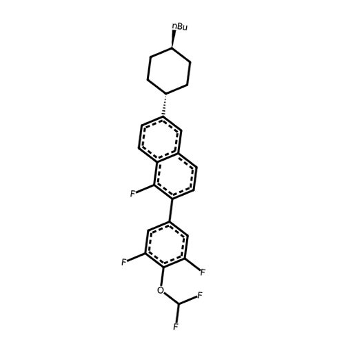 CCCC[C@H]1CC[C@H](c2ccc3c(F)c(-c4cc(F)c(OC(F)F)c(F)c4)ccc3c2)CC1